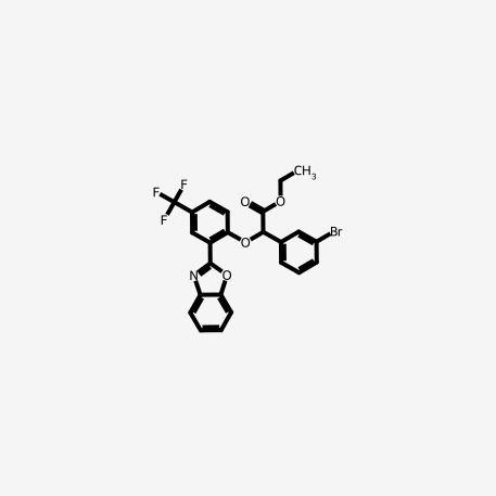 CCOC(=O)C(Oc1ccc(C(F)(F)F)cc1-c1nc2ccccc2o1)c1cccc(Br)c1